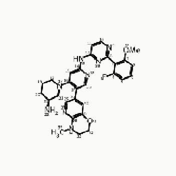 COc1cccc(F)c1-c1nccc(Nc2cc(N3CCC[C@H](N)C3)c(-c3cnc4c(c3)OCCN4C)cn2)n1